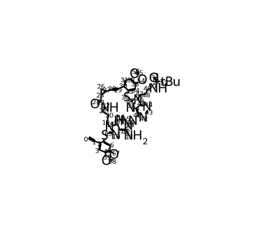 C#Cc1cc2c(cc1Sc1nc3c(N)ncnc3n1CCCNC(=O)C1CC1C#Cc1cc3c(cc1Sc1nc4c(N)ncnc4n1CCCNC(=O)C(C)(C)C)OCO3)OCO2